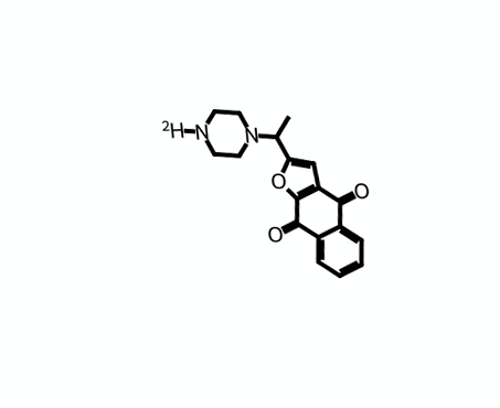 [2H]N1CCN(C(C)c2cc3c(o2)C(=O)c2ccccc2C3=O)CC1